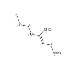 CCCCCCC/C=C(\C=O)OCOCC